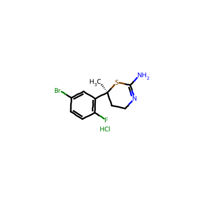 C[C@@]1(c2cc(Br)ccc2F)CCN=C(N)S1.Cl